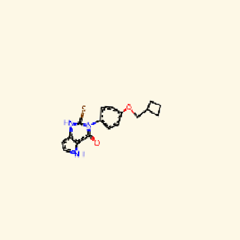 O=c1c2[nH]ccc2[nH]c(=S)n1-c1ccc(OCC2CCC2)cc1